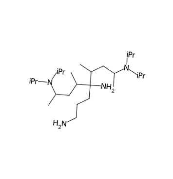 CC(C)N(C(C)C)C(C)CC(C)C(N)(CCCN)C(C)CC(C)N(C(C)C)C(C)C